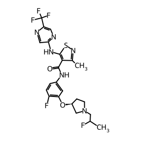 Cc1nsc(Nc2cnc(C(F)(F)F)cn2)c1C(=O)Nc1ccc(F)c(O[C@H]2CCN(CC(C)F)C2)c1